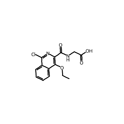 CCOc1c(C(=O)NCC(=O)O)nc(Cl)c2ccccc12